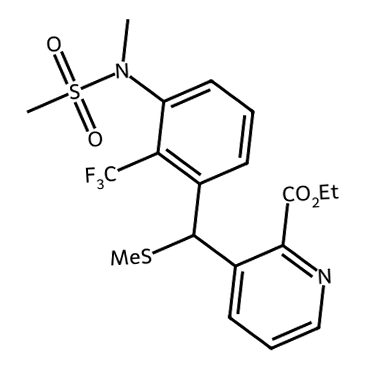 CCOC(=O)c1ncccc1C(SC)c1cccc(N(C)S(C)(=O)=O)c1C(F)(F)F